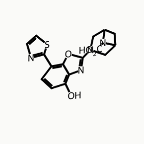 O=C(O)N1C2CC1CN(c1nc3c(O)ccc(-c4nccs4)c3o1)C2